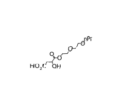 CCCOCCOCCOC(=O)C(O)CC(=O)O